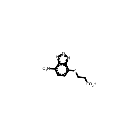 O=C(O)CCSc1ccc([N+](=O)[O-])c2nonc12